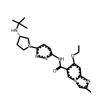 CCOc1cc2nc(C)cn2cc1C(=O)Nc1ccc(N2CC[C@H](NC(C)(C)C)C2)nn1